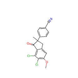 COc1cc2c(c(Cl)c1Cl)C(=O)C(C)(c1ccc(C#N)cc1)C2